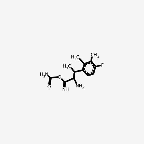 Cc1c(F)ccc(C(C)C(N)C(=N)OC(N)=O)c1C